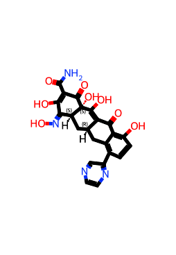 NC(=O)C1=C(O)C(=NO)[C@@H]2C[C@@H]3Cc4c(-c5cnccn5)ccc(O)c4C(=O)C3=C(O)[C@]2(O)C1=O